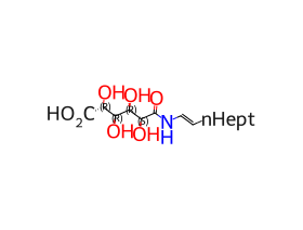 CCCCCCCC=CNC(=O)[C@@H](O)[C@H](O)[C@@H](O)[C@@H](O)C(=O)O